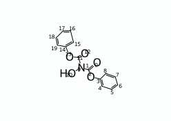 O=C(Oc1ccccc1)N(O)C(=O)Oc1ccccc1